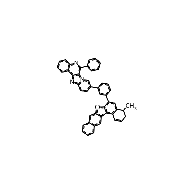 CC1CC=Cc2c1cc(-c1cccc(-c3ccc4nc5c6ccccc6nc(-c6ccccc6)c5n4c3)c1)c1oc3cc4ccccc4cc3c21